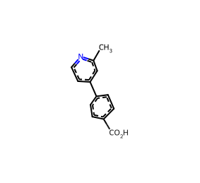 Cc1cc(-c2ccc(C(=O)O)cc2)ccn1